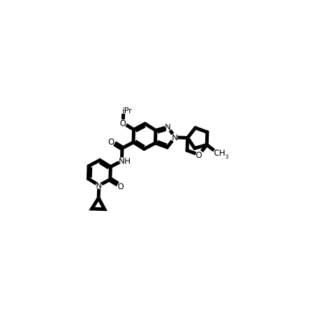 CC(C)Oc1cc2nn(C34CCC(C)(C3)OC4)cc2cc1C(=O)Nc1cccn(C2CC2)c1=O